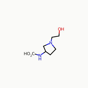 O=C(O)NC1CCN(CCO)C1